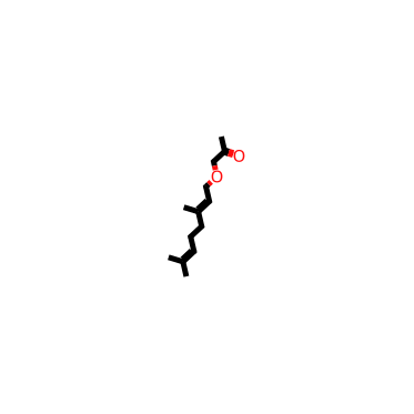 CC(=O)COC/C=C(\C)CCC=C(C)C